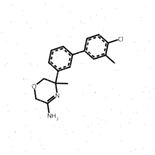 Cc1cc(-c2cccc(C3(C)COCC(N)=N3)c2)ccc1Cl